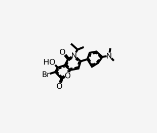 CC(C)n1c(-c2ccc(N(C)C)cc2)cc2oc(=O)c(Br)c(O)c2c1=O